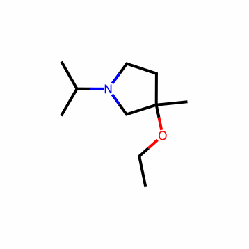 CCOC1(C)CCN(C(C)C)C1